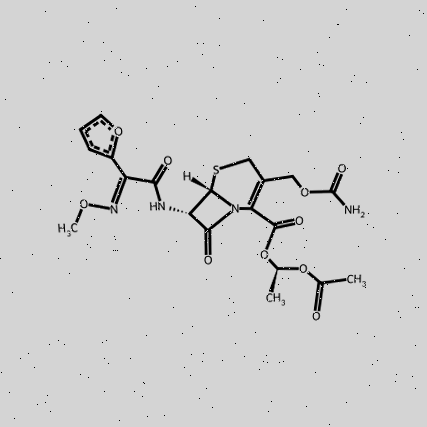 CON=C(C(=O)N[C@H]1C(=O)N2C(C(=O)O[C@H](C)OC(C)=O)=C(COC(N)=O)CS[C@@H]12)c1ccco1